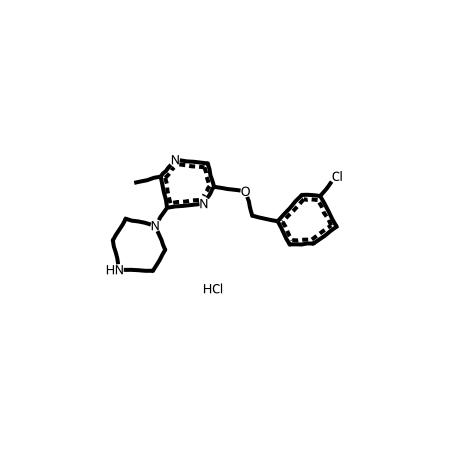 Cc1ncc(OCc2cccc(Cl)c2)nc1N1CCNCC1.Cl